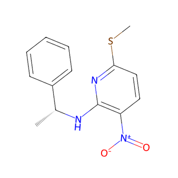 CSc1ccc([N+](=O)[O-])c(N[C@H](C)c2ccccc2)n1